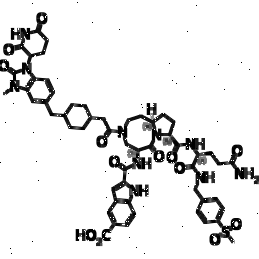 Cn1c(=O)n(C2CCC(=O)NC2=O)c2ccc(CC3CCC(CC(=O)N4CC[C@H]5CC[C@@H](C(=O)N[C@@H](CCC(N)=O)C(=O)NCc6ccc(S(C)(=O)=O)cc6)N5C(=O)[C@@H](NC(=O)c5cc6cc(C(=O)O)ccc6[nH]5)C4)CC3)cc21